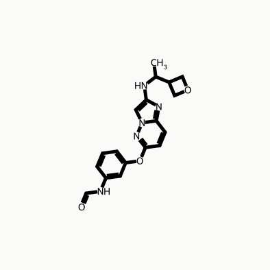 CC(Nc1cn2nc(Oc3cccc(NC=O)c3)ccc2n1)C1COC1